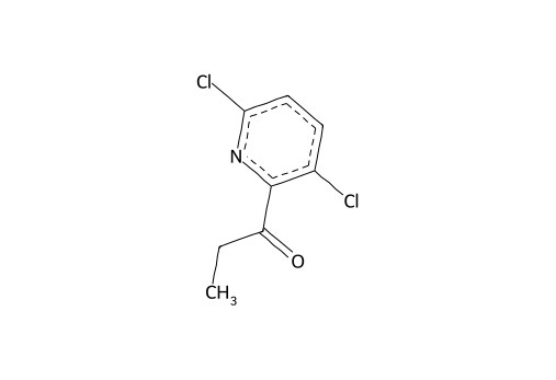 CCC(=O)c1nc(Cl)ccc1Cl